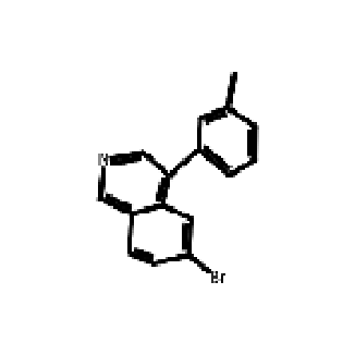 Cc1cccc(-c2cncc3ccc(Br)cc23)c1